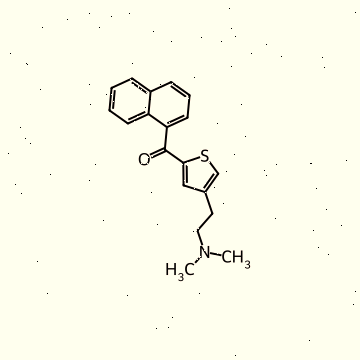 CN(C)CCc1csc(C(=O)c2cccc3ccccc23)c1